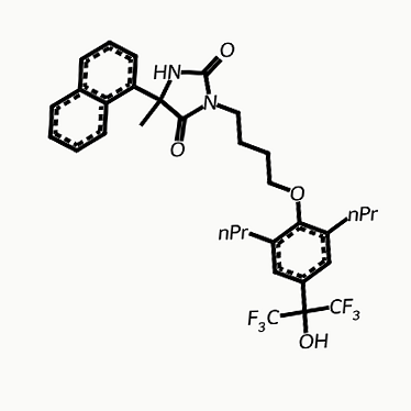 CCCc1cc(C(O)(C(F)(F)F)C(F)(F)F)cc(CCC)c1OCCCCN1C(=O)NC(C)(c2cccc3ccccc23)C1=O